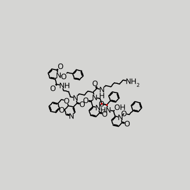 NCCCCCNC(=O)C(CCCN(CCCNC(=O)c1cccc(=O)n1OCc1ccccc1)C(=O)C1=CN=CC(=O)C1OCc1ccccc1)N(CCCNC(O)c1cccc(=O)n1OCc1ccccc1)C(=O)c1cccc(=O)n1OCc1ccccc1